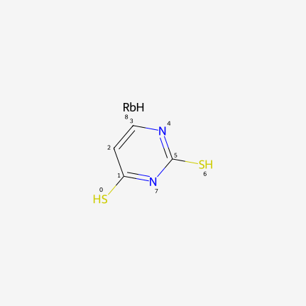 Sc1ccnc(S)n1.[RbH]